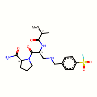 CN[C@@H](C)C(=O)N[C@@H](CNCc1ccc(S(=O)(=O)F)cc1)C(=O)N1CCC[C@H]1C(N)=O